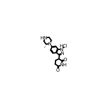 C[C@@H]1CNCCN1c1ccc2c(C3CCC(=O)NC3=O)nn(C)c2c1.Cl